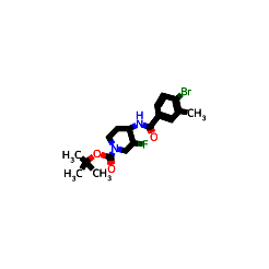 Cc1cc(C(=O)NC2CCN(C(=O)OC(C)(C)C)CC2F)ccc1Br